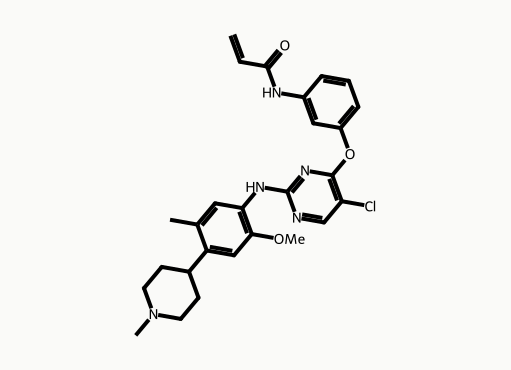 C=CC(=O)Nc1cccc(Oc2nc(Nc3cc(C)c(C4CCN(C)CC4)cc3OC)ncc2Cl)c1